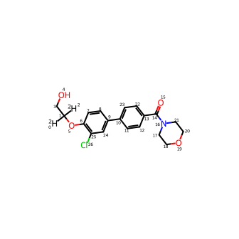 [2H]C([2H])(CO)Oc1ccc(-c2ccc(C(=O)N3CCOCC3)cc2)cc1Cl